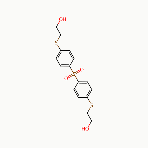 O=S(=O)(c1ccc(SCCO)cc1)c1ccc(SCCO)cc1